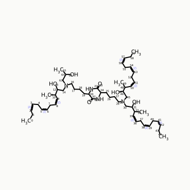 CC/C=C\C/C=C\C/C=C\C(C)C(O)CN(CCCCC1NC(=O)C(CCCCN(CC(O)C(C)/C=C\C/C=C\C/C=C\CC)CC(O)C(C)/C=C\C/C=C\C/C=C\CC)NC1=O)CC(C)O